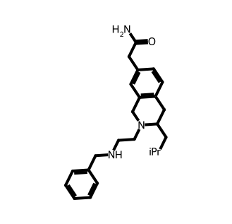 CC(C)CC1Cc2ccc(CC(N)=O)cc2CN1CCNCc1ccccc1